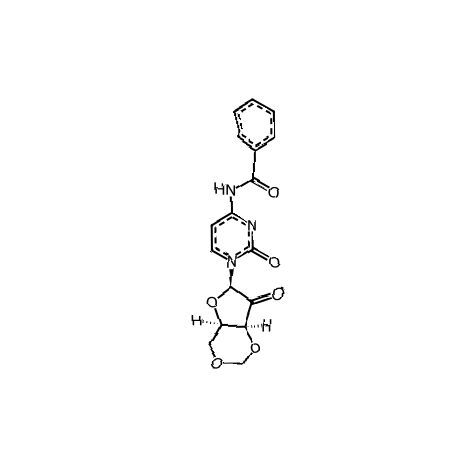 O=C(Nc1ccn([C@@H]2O[C@@H]3COCO[C@@H]3C2=O)c(=O)n1)c1ccccc1